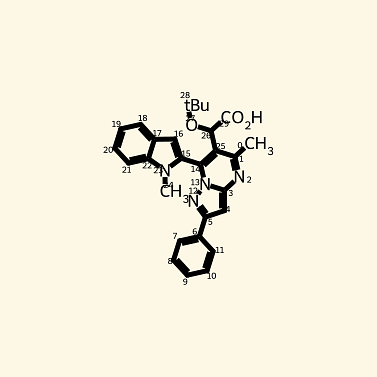 Cc1nc2cc(-c3ccccc3)nn2c(-c2cc3ccccc3n2C)c1C(OC(C)(C)C)C(=O)O